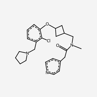 CN(CC1CC(Oc2cccc(CN3CCCC3)c2Cl)C1)C(=O)Cc1ccncc1